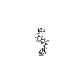 CC(C)(C)CCC1=CC(CC(C)(C)CCCN2CCOCC2)CCC1